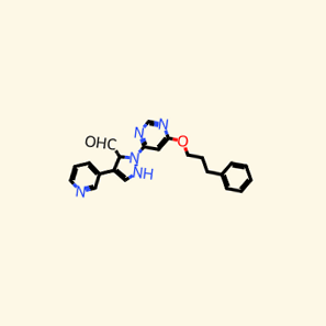 O=CC1C(c2cccnc2)=CNN1c1cc(OCCCc2ccccc2)ncn1